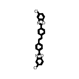 Clc1ccc2oc(-c3ccc(C=Cc4ccc(-c5nc6cc(Cl)ccc6o5)cc4)cc3)nc2c1